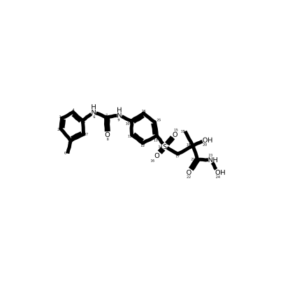 Cc1cccc(NC(=O)Nc2ccc(S(=O)(=O)CC(C)(O)C(=O)NO)cc2)c1